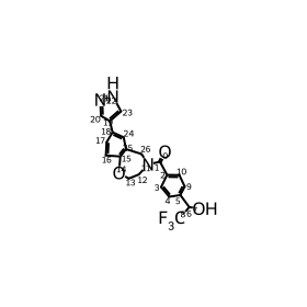 O=C(c1ccc(C(O)C(F)(F)F)cc1)N1CCOc2ccc(-c3cn[nH]c3)cc2C1